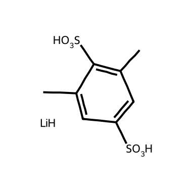 Cc1cc(S(=O)(=O)O)cc(C)c1S(=O)(=O)O.[LiH]